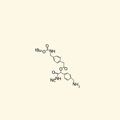 CC(C)(C)OC(=O)NCc1ccc(CC(=O)OC(C(=O)NC#N)c2ccc(CN)cc2)cc1